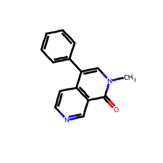 Cn1cc(-c2[c]cccc2)c2ccncc2c1=O